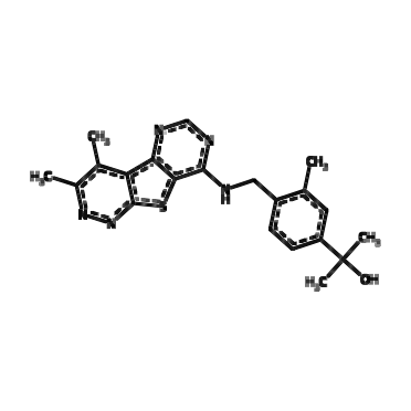 Cc1cc(C(C)(C)O)ccc1CNc1ncnc2c1sc1nnc(C)c(C)c12